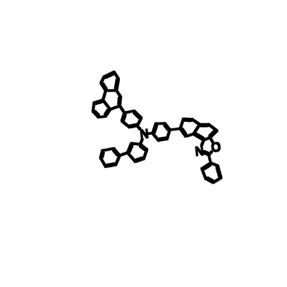 c1ccc(-c2cccc(N(c3ccc(-c4ccc5ccc6oc(-c7ccccc7)nc6c5c4)cc3)c3ccc(-c4cc5ccccc5c5ccccc45)cc3)c2)cc1